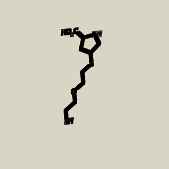 O=C(O)C1CC(SCCOCCS)CN1